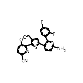 N#Cc1ccc2c(n1)-c1sc(-c3ccc(N)nc3-c3ccc(F)cc3F)cc1CCO2